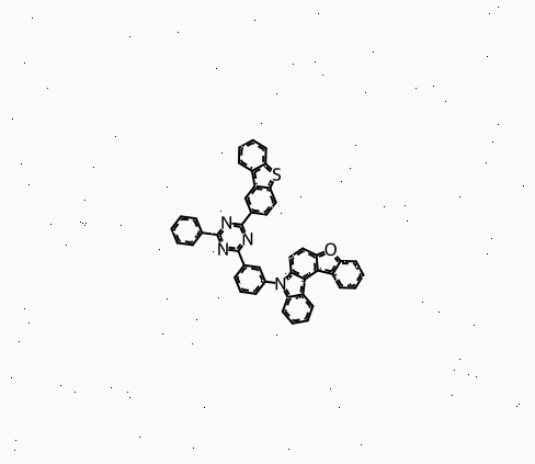 c1ccc(-c2nc(-c3cccc(-n4c5ccccc5c5c6c(ccc54)oc4ccccc46)c3)nc(-c3ccc4sc5ccccc5c4c3)n2)cc1